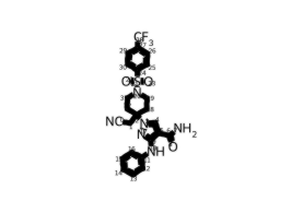 N#CCC1(n2cc(C(N)=O)c(Nc3ccccc3)n2)CCN(S(=O)(=O)c2ccc(C(F)(F)F)cc2)CC1